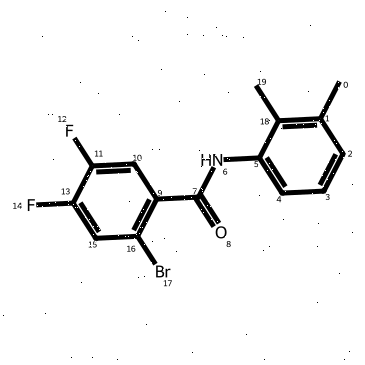 Cc1cccc(NC(=O)c2cc(F)c(F)cc2Br)c1C